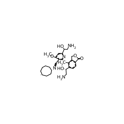 COc1cc(C(O)CN)ncc1C#N.Cc1c([C@@H](O)CN)ccc2c1COC2=O.[CH]1CCCCCCC1